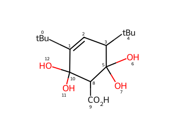 CC(C)(C)C1=CC(C(C)(C)C)C(O)(O)C(C(=O)O)C1(O)O